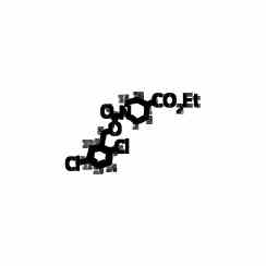 CCOC(=O)C1CCN(C(=O)OCc2cc(Cl)ccc2Cl)CC1